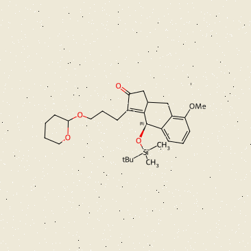 COc1cccc2c1CC1CC(=O)C(CCCOC3CCCCO3)=C1[C@@H]2O[Si](C)(C)C(C)(C)C